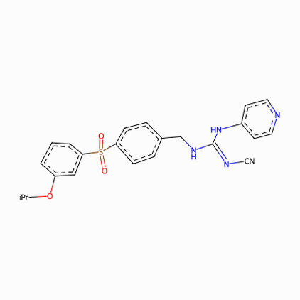 CC(C)Oc1cccc(S(=O)(=O)c2ccc(CNC(=NC#N)Nc3ccncc3)cc2)c1